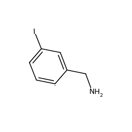 NCc1[c]ccc(I)c1